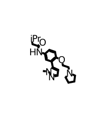 CC(C)CC(=O)Nc1ccc(OCCN2CCCC2)c(-c2ccnn2C)c1